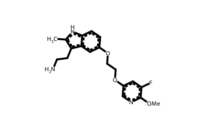 COc1ncc(OCCOc2ccc3[nH]c(C)c(CCN)c3c2)cc1F